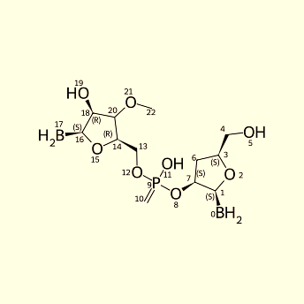 B[C@@H]1O[C@H](CO)C[C@@H]1OP(=C)(O)OC[C@H]1O[C@@H](B)[C@@H](O)C1OC